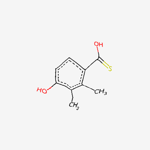 Cc1c(O)ccc(C(O)=S)c1C